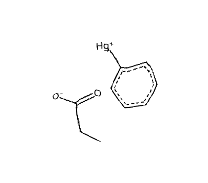 CCC(=O)[O-].[Hg+][c]1ccccc1